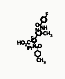 Cc1cc(-c2cc(N(C(=O)[C@H]3CC[C@H](C)CC3)C(C)C)c(C(=O)O)s2)cnc1NC(=O)c1ccc(F)cc1